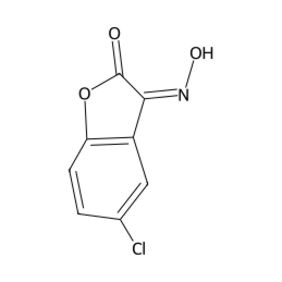 O=C1Oc2ccc(Cl)cc2C1=NO